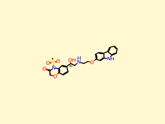 CS(=O)(=O)N1C(=O)COc2ccc([C@@H](O)CNCCOc3ccc4c(c3)[nH]c3ccccc34)cc21